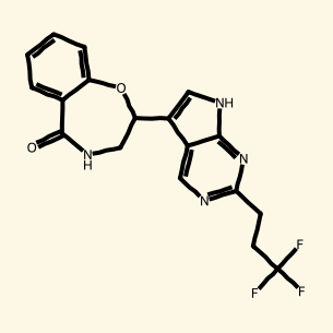 O=C1NCC(c2c[nH]c3nc(CCC(F)(F)F)ncc23)Oc2ccccc21